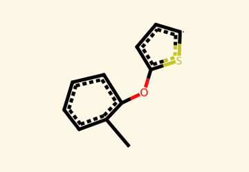 Cc1ccccc1Oc1cc[c]s1